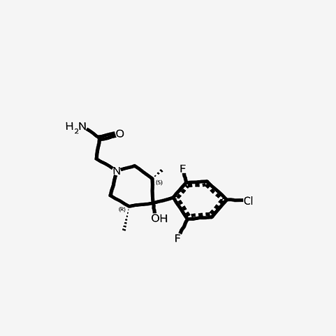 C[C@@H]1CN(CC(N)=O)C[C@H](C)C1(O)c1c(F)cc(Cl)cc1F